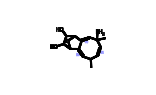 BC1(C)/C=C\C(C)/C=C2\C(=C/1)C1OC2C(O)C1O